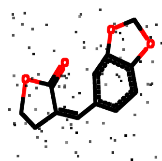 O=C1OCCC1=Cc1ccc2c(c1)OCO2